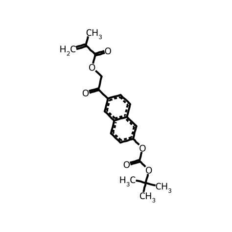 C=C(C)C(=O)OCC(=O)c1ccc2cc(OC(=O)OC(C)(C)C)ccc2c1